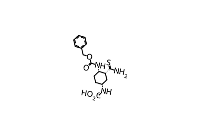 NC(=S)[C@@H]1C[C@H](NC(=O)O)CC[C@@H]1NC(=O)OCc1ccccc1